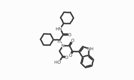 O=C(O)CN(C(=O)C(=O)c1c[nH]c2ccccc12)[C@@H](C(=O)NC1CCCCC1)C1CCCCC1